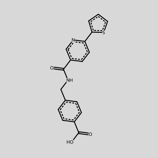 O=C(O)c1ccc(CNC(=O)c2ccc(-c3cccs3)nc2)cc1